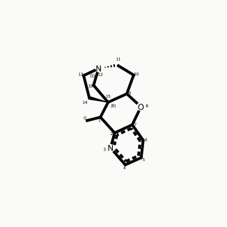 CC1c2ncccc2OC2CC[N@@]3CC[C@@]21C3